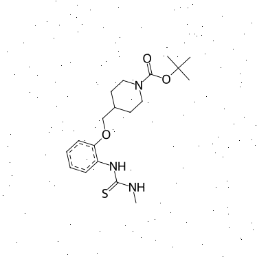 CNC(=S)Nc1ccccc1OCC1CCN(C(=O)OC(C)(C)C)CC1